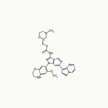 COc1cc2c(cc1-n1nc(NC(=O)OC[C@@H]3CN(C)CCO3)c3cnc(-c4cnn5cccnc45)cc31)OCCN2